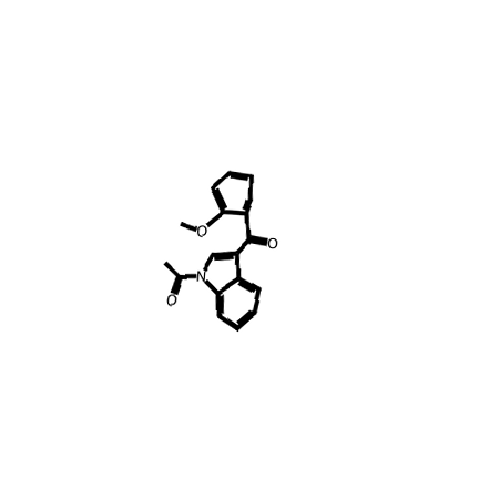 COc1ccccc1C(=O)c1cn(C(C)=O)c2ccccc12